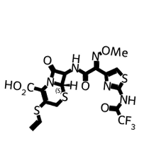 C=CSC1=C(C(=O)O)N2C(=O)C(NC(=O)C(=NOC)c3csc(NC(=O)C(F)(F)F)n3)[C@@H]2SC1